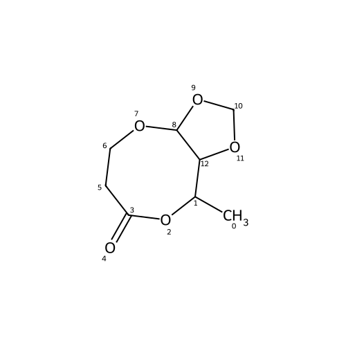 CC1OC(=O)CCOC2OCOC12